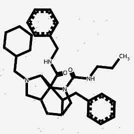 CCCNC(=O)N1CC2CC3CN(CC4CCCCC4)C(C2Cc2ccccc2)C31C(=O)NCc1ccccc1